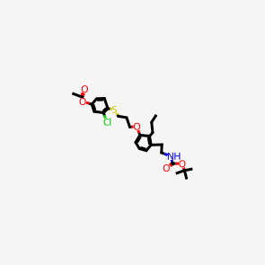 CCCc1c(CCNC(=O)OC(C)(C)C)cccc1OCCCSc1ccc(OC(C)=O)cc1Cl